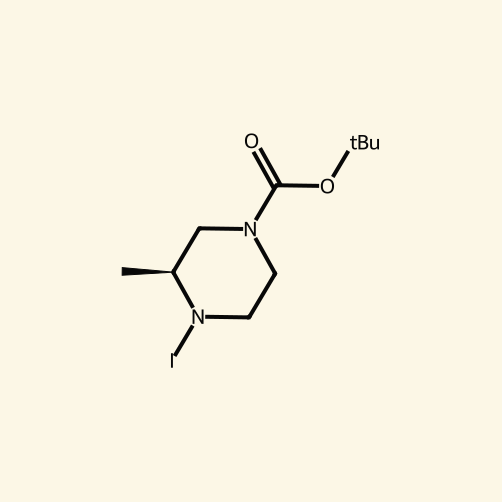 C[C@H]1CN(C(=O)OC(C)(C)C)CCN1I